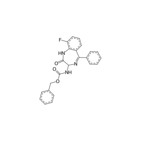 O=C(NC1N=C(c2ccccc2)c2cccc(F)c2NC1=O)OCc1ccccc1